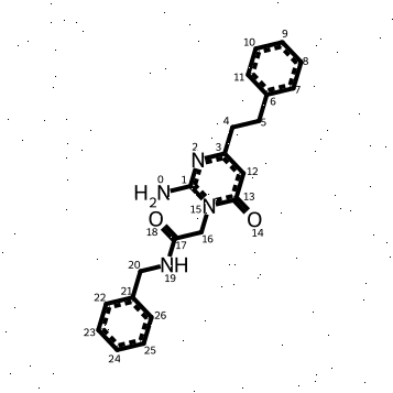 Nc1nc(CCc2ccccc2)cc(=O)n1CC(=O)NCc1ccccc1